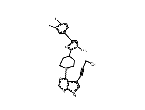 Cn1cc(-c2ccc(F)c(F)c2)nc1C1CCN(c2ncnc3[nH]cc(C#CCO)c23)CC1